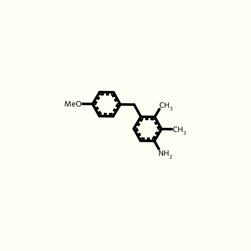 COc1ccc(Cc2ccc(N)c(C)c2C)cc1